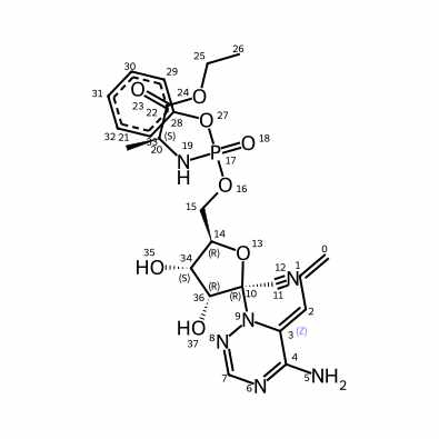 C=C/C=C1/C(N)=NC=NN1[C@]1(C#N)O[C@H](COP(=O)(N[C@@H](C)C(=O)OCC)Oc2ccccc2)[C@@H](O)[C@H]1O